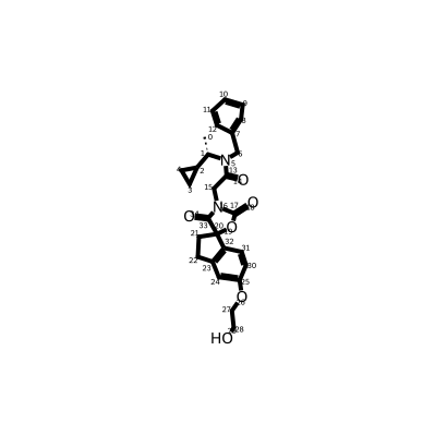 C[C@@H](C1CC1)N(Cc1ccccc1)C(=O)CN1C(=O)OC2(CCc3cc(OCCO)ccc32)C1=O